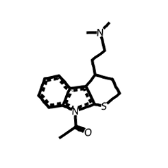 CC(=O)n1c2c(c3ccccc31)C(CCN(C)C)CCS2